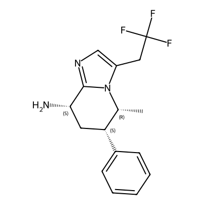 C[C@@H]1[C@H](c2ccccc2)C[C@H](N)c2ncc(CC(F)(F)F)n21